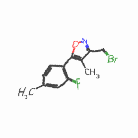 Cc1ccc(-c2onc(CBr)c2C)c(F)c1